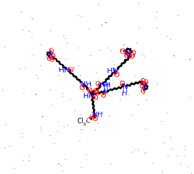 O=C(CCCCCCCNC(=O)CCOCC(COCCC(=O)NCCCCCCCC(=O)NCCCCCCCC(=O)ON1C(=O)CCC1=O)(COCCC(=O)NCCCCCCCC(=O)NCCCCCCCC(=O)ON1C(=O)CCC1=O)NC(=O)CCCCCCCNC(=O)OCC(Cl)(Cl)Cl)NCCCCCCCC(=O)ON1C(=O)CCC1=O